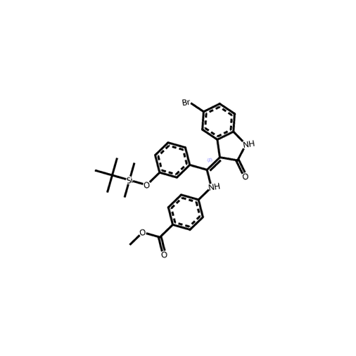 COC(=O)c1ccc(N/C(=C2\C(=O)Nc3ccc(Br)cc32)c2cccc(O[Si](C)(C)C(C)(C)C)c2)cc1